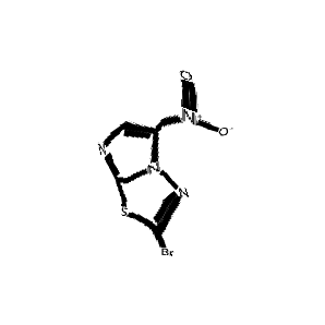 O=[N+]([O-])c1cnc2sc(Br)nn12